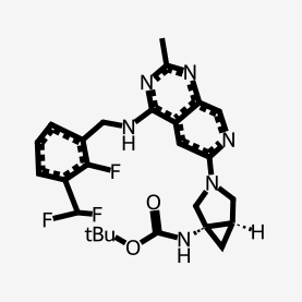 Cc1nc(NCc2cccc(C(F)F)c2F)c2cc(N3C[C@H]4C[C@@]4(NC(=O)OC(C)(C)C)C3)ncc2n1